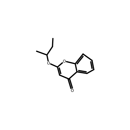 CCC(C)Oc1cc(=O)c2ccccc2o1